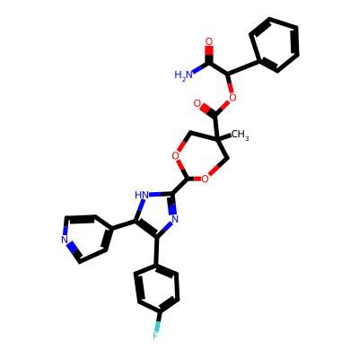 CC1(C(=O)OC(C(N)=O)c2ccccc2)COC(c2nc(-c3ccc(F)cc3)c(-c3ccncc3)[nH]2)OC1